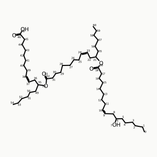 CCCCCCC(O)C/C=C\CCCCCCCC(=O)OC(C/C=C\CCCCCCCC(=O)OC(C/C=C\CCCCCCCC(=O)O)CCCCCC)CCCCCC